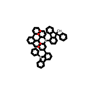 CC1(c2ccccc2)c2ccccc2-c2c(N(c3cccc(-c4cccc5c6ccccc6n(-c6ccccc6)c45)c3)c3ccccc3-c3cccc4cccc(-c5ccccc5)c34)cccc21